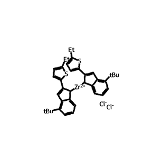 CCc1ccc(C2=Cc3c(cccc3C(C)(C)C)[CH]2[Zr+2][CH]2C(c3ccc(CC)s3)=Cc3c2cccc3C(C)(C)C)s1.[Cl-].[Cl-]